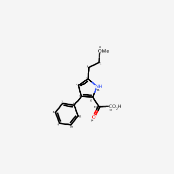 COCCc1cc(-c2ccccc2)c(C(=O)C(=O)O)[nH]1